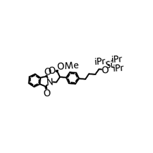 COC(=O)C(CN1C(=O)c2ccccc2C1=O)c1ccc(CCCCO[Si](C(C)C)(C(C)C)C(C)C)cc1